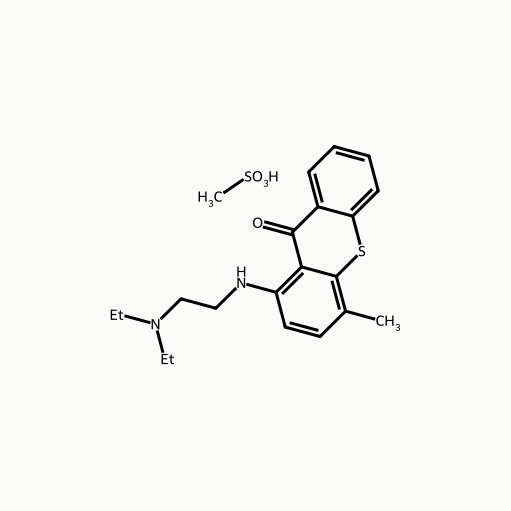 CCN(CC)CCNc1ccc(C)c2sc3ccccc3c(=O)c12.CS(=O)(=O)O